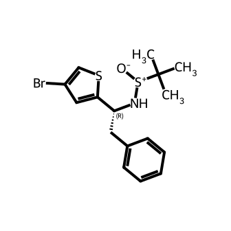 CC(C)(C)[S+]([O-])N[C@H](Cc1ccccc1)c1cc(Br)cs1